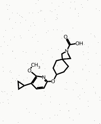 COc1nc(OC2CCC3(CC2)CN(C(=O)O)C3)ccc1C1CC1